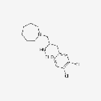 O=CNC(Cc1ccc(Cl)c(Cl)c1)CN1CCCCCC1